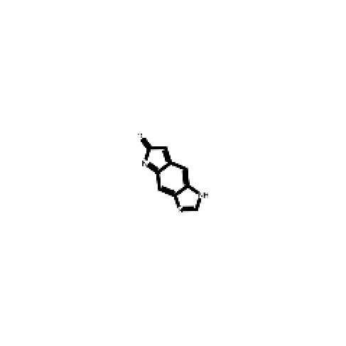 O=C1C=c2cc3[nH]cnc3cc2=N1